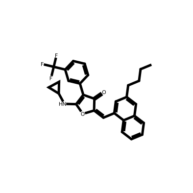 CCCCc1cc(/C=C2/OC(NC3CC3)=C(c3cccc(C(F)(F)F)c3)C2=O)c2ccccc2c1